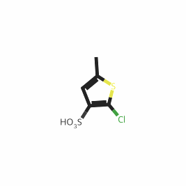 Cc1cc(S(=O)(=O)O)c(Cl)s1